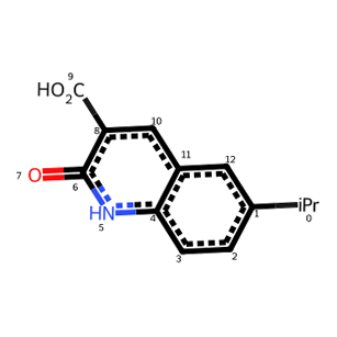 CC(C)c1ccc2[nH]c(=O)c(C(=O)O)cc2c1